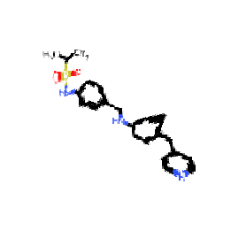 CC(C)S(=O)(=O)Nc1ccc(CNc2ccc(Cc3ccncc3)cc2)cc1